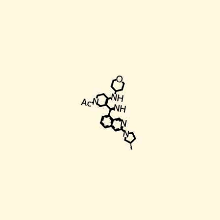 CC(=O)N1CCC(NC2CCOCC2)=C(C(=N)c2cccc3cc(N4CC[C@@H](C)C4)ncc23)C1